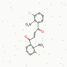 O=C(C=CC(=O)c1cccc(F)c1[N+](=O)[O-])c1cccc(F)c1[N+](=O)[O-]